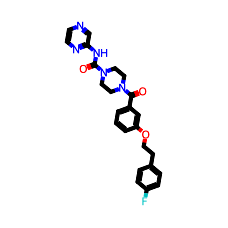 O=C(Nc1cnccn1)N1CCN(C(=O)c2cccc(OCCc3ccc(F)cc3)c2)CC1